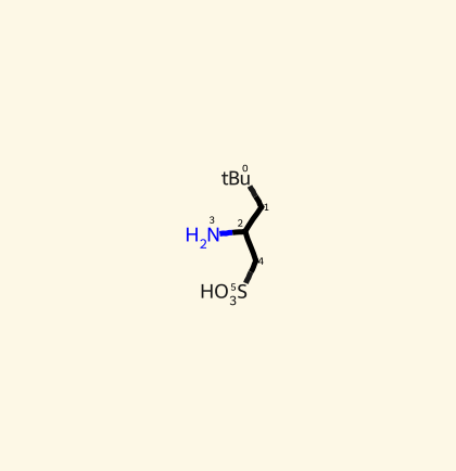 CC(C)(C)CC(N)CS(=O)(=O)O